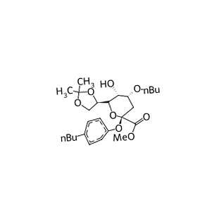 CCCCO[C@@H]1C[C@](Oc2ccc(CCCC)cc2)(C(=O)OC)OC([C@H]2COC(C)(C)O2)[C@@H]1O